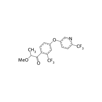 COC(C)C(=O)c1ccc(Oc2ccc(C(F)(F)F)nc2)cc1C(F)(F)F